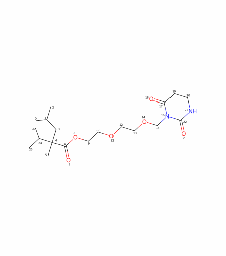 CC(C)CC(C)(C(=O)OCCOCCOCN1C(=O)CCNC1=O)C(C)C